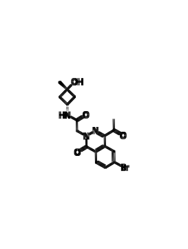 CC(=O)c1nn(CC(=O)N[C@H]2C[C@@](C)(O)C2)c(=O)c2ccc(Br)cc12